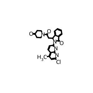 Cc1cc(Cl)nc2nc(N3C(=O)c4ccccc4C3CC(=O)N3CCC(=O)CC3)ccc12